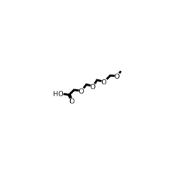 COCOCOCOCC(=O)O